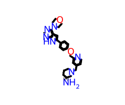 N[C@@H]1CCCN(Cc2ccnc(COc3ccc(-c4cc5c(N6CCOCC6)ncnc5[nH]4)cc3)c2)C1